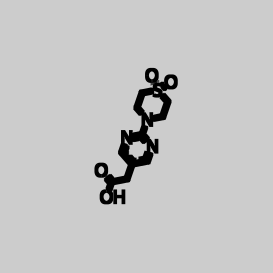 O=C(O)Cc1cnc(N2CCS(=O)(=O)CC2)nc1